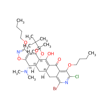 CCCCOc1noc2c1C(=O)[C@@]1(O[Si](C)(C)C(C)(C)C)C(O)=C3C(=O)c4c(c(Br)nc(Cl)c4OCCCC)C[C@H]3C[C@H]1[C@@H]2N(C)C